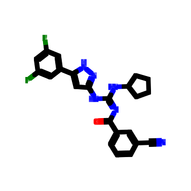 N#Cc1cccc(C(=O)/N=C(\Nc2cc(-c3cc(F)cc(F)c3)[nH]n2)NC2CCCC2)c1